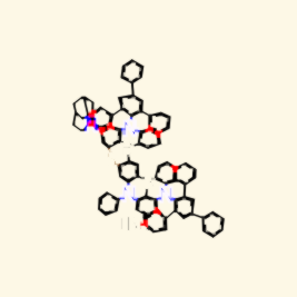 CC(C)(C)c1cc2c3c(c1)N(c1c(-c4ccccc4)cc(-c4ccccc4)cc1-c1ccccc1)c1ccccc1B3c1cc3c(cc1N2c1ccccc1)Sc1cc(N2C4CC5CC(C4)CC2C5)cc2c1B3c1ccccc1N2c1c(-c2ccccc2)cc(-c2ccccc2)cc1-c1ccccc1